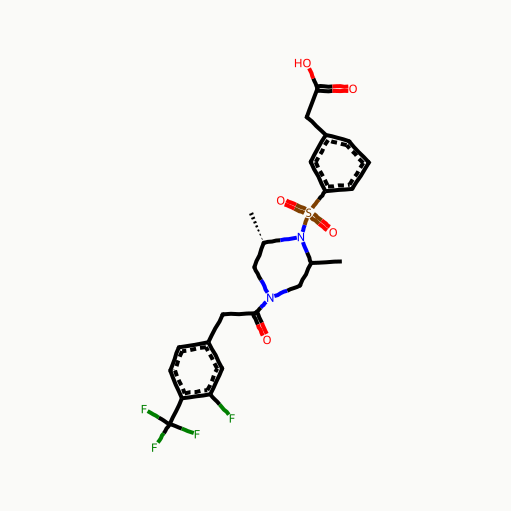 CC1CN(C(=O)Cc2ccc(C(F)(F)F)c(F)c2)C[C@H](C)N1S(=O)(=O)c1cccc(CC(=O)O)c1